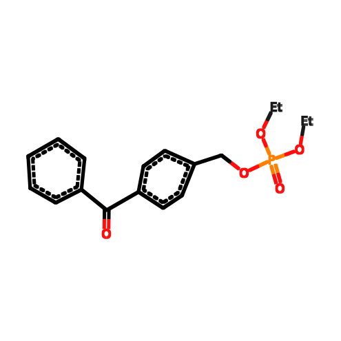 CCOP(=O)(OCC)OCc1ccc(C(=O)c2ccccc2)cc1